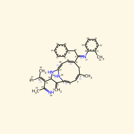 C=C1/C2=C/C=C(/C)CC(/C(Cc3ccccc3)=N/c3ccccc3C)=C\C=C(/N2)NC1/C(C(C)=N)=C(\C)C(C)C